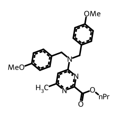 CCCOC(=O)c1nc(C)cc(N(Cc2ccc(OC)cc2)Cc2ccc(OC)cc2)n1